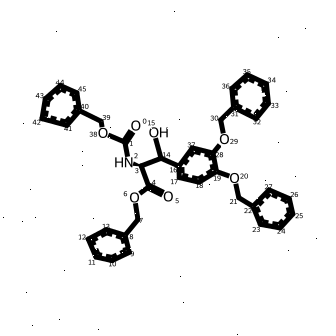 O=C(N[C@H](C(=O)OCc1ccccc1)C(O)c1ccc(OCc2ccccc2)c(OCc2ccccc2)c1)OCc1ccccc1